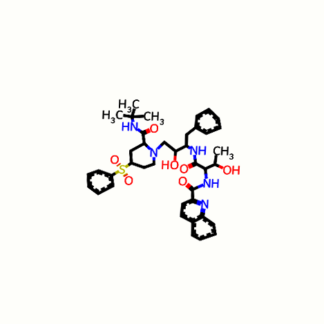 CC(O)C(NC(=O)c1ccc2ccccc2n1)C(=O)NC(Cc1ccccc1)C(O)CN1CCC(S(=O)(=O)c2ccccc2)CC1C(=O)NC(C)(C)C